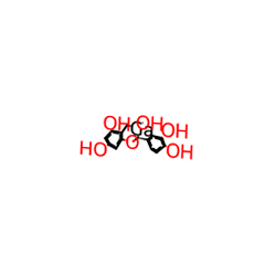 Oc1cc(O)c2c(c1)O[C@H](c1ccc(O)c(O)c1)[Ga]([OH])[CH2]2